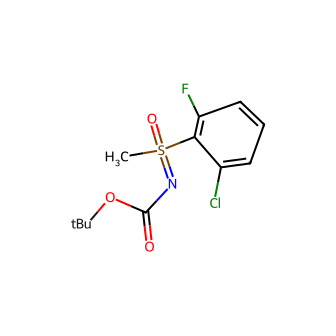 CC(C)(C)OC(=O)N=S(C)(=O)c1c(F)cccc1Cl